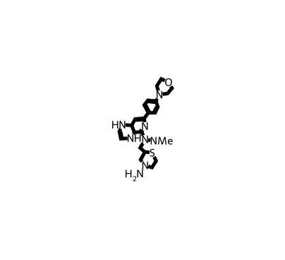 CNN(CC1CN(N)CCS1)C1=NC(c2ccc(N3CCOCC3)cc2)=CC2NC=CNC12